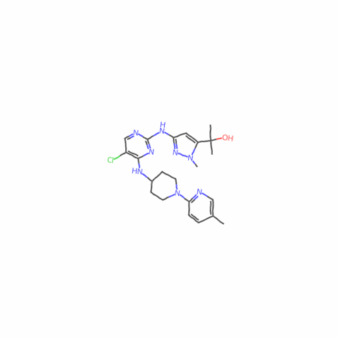 Cc1ccc(N2CCC(Nc3nc(Nc4cc(C(C)(C)O)n(C)n4)ncc3Cl)CC2)nc1